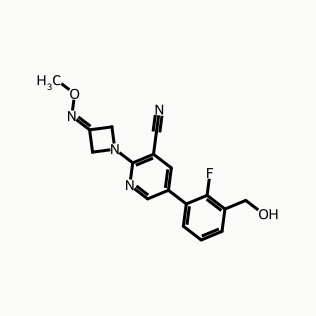 CON=C1CN(c2ncc(-c3cccc(CO)c3F)cc2C#N)C1